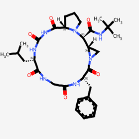 CC(C)C[C@@H]1NC(=O)NC(=O)[C@@H]2CCCN2[C@@H](C(=O)NC(C)(C)C)[C@@H]2CN2C(=O)[C@H](Cc2ccccc2)NC(=O)CNC1=O